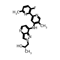 Cc1ccc(F)c(-c2cc(Nc3ccnc4cn(C[C@H](C)O)nc34)c(C)cn2)n1